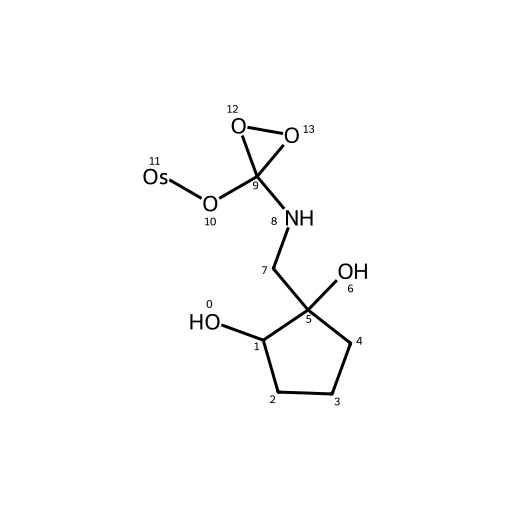 OC1CCCC1(O)CNC1([O][Os])OO1